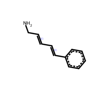 NC/C=C/C=C/c1ccccc1